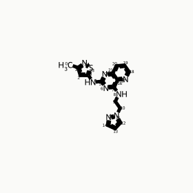 Cc1cc(Nc2nc(NCCn3cccn3)c3ncccc3n2)sn1